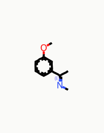 C/N=C(\C)c1cccc(OC)c1